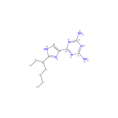 CCCCC(CC)c1nc(-c2nc(N)nc(N)n2)c[nH]1